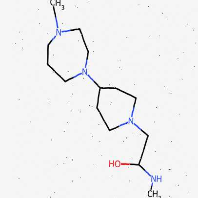 CNC(O)CN1CCC(N2CCCN(C)CC2)CC1